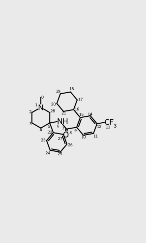 CN1CCCC(NC(=O)c2ccc(C(F)(F)F)cc2C2CCCCC2)(c2ccccc2)C1